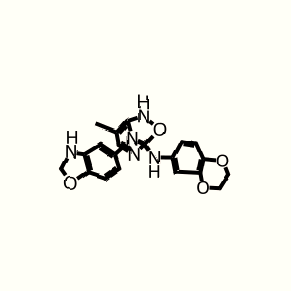 CC1=C2NOC(Nc3ccc4c(c3)OCCO4)(N=C1)N2c1ccc2c(c1)NCO2